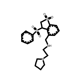 O=S1(=O)CC(S(=O)(=O)c2ccccc2)c2c(CNCCN3CCCC3)cccc21